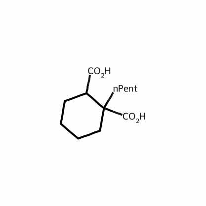 CCCCCC1(C(=O)O)CCCCC1C(=O)O